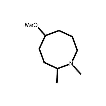 COC1CCCN(C)C(C)CC1